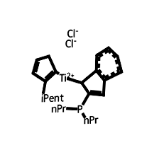 CCCC(C)C1=[C]([Ti+2][CH]2C(P(CCC)CCC)=Cc3ccccc32)CC=C1.[Cl-].[Cl-]